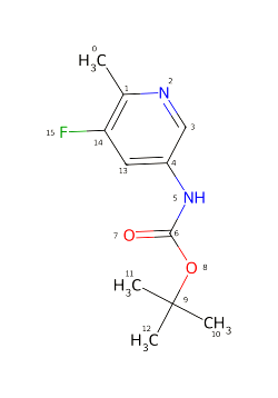 Cc1ncc(NC(=O)OC(C)(C)C)cc1F